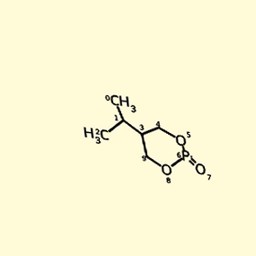 CC(C)C1CO[P](=O)OC1